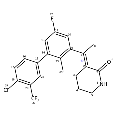 C/C(=C1/CCCNC1=O)c1cc(F)cc(-c2ccc(Cl)c(C(F)(F)F)c2)c1C